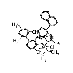 CC1=Cc2c(-c3c(C)cc(C)cc3C)ccc(C)c2[CH]1[Zr]([Cl])([Cl])([CH]1C(C(C)C)=Cc2c(-c3cccc4ccccc34)cccc21)[SiH](C)C